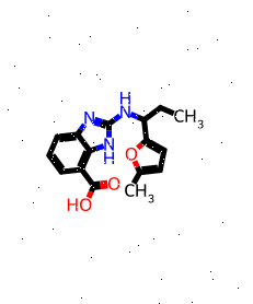 CCC(Nc1nc2cccc(C(=O)O)c2[nH]1)c1ccc(C)o1